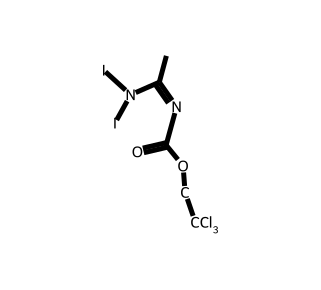 C/C(=N/C(=O)OCC(Cl)(Cl)Cl)N(I)I